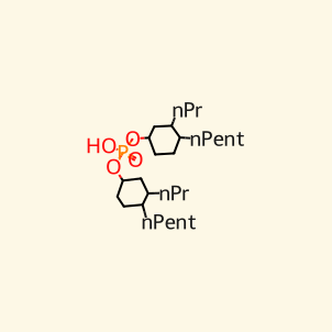 CCCCCC1CCC(OP(=O)(O)OC2CCC(CCCCC)C(CCC)C2)CC1CCC